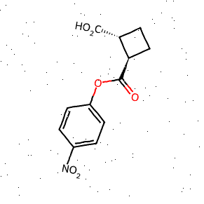 O=C(O)[C@@H]1CC[C@H]1C(=O)Oc1ccc([N+](=O)[O-])cc1